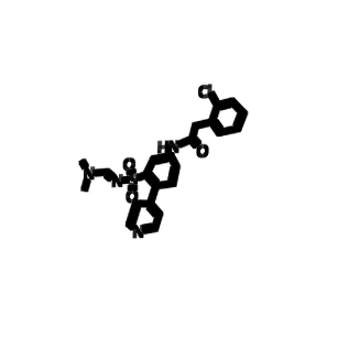 CN(C)/C=N/S(=O)(=O)c1cc(NC(=O)Cc2ccccc2Cl)ccc1-c1ccncc1